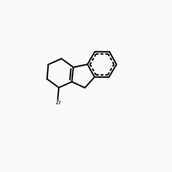 [Zr][CH]1CCCC2=C1Cc1ccccc12